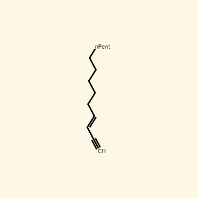 C#C/C=C/CCCCCCCCCC